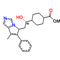 COC(=O)C1CCC([C@@H](O)CC2C(c3ccccc3)=C(C)c3cncn32)CC1